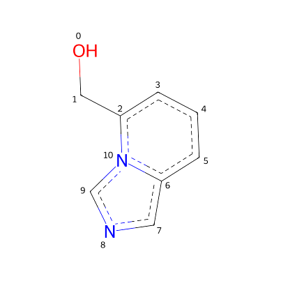 OCc1cccc2cncn12